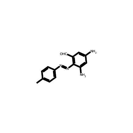 Cc1ccc(N=Nc2c(N)cc(N)cc2C=O)cc1